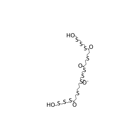 O=C(CCSCCC[S+]([O-])CSCSC(=O)CCSCCC(=O)SCSCSCO)SCSCSCO